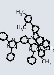 Cc1ccc(-c2ccc3c4ccc(-c5ccc(C)cc5C)cc4n(-c4ccc(-c5nc(-c6ccccc6)nc(-c6ccccc6)n5)cc4-c4cc(-c5ccccc5)nc(-c5ccccc5)n4)c3c2)c(C)c1